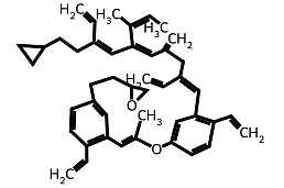 C=C\C(=C/C(=C/C(=C)C/C(C=C)=C/c1cc(O/C(C)=C/c2cc(CCC3CO3)ccc2C=C)ccc1C=C)C(/C)=C\C)CCC1CC1